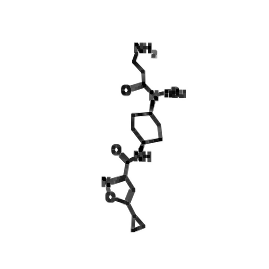 CCCCN(C(=O)CCN)[C@H]1CC[C@@H](NC(=O)c2cc(C3CC3)on2)CC1